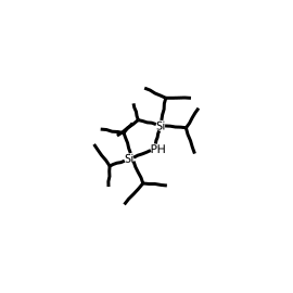 CC(C)[Si](P[Si](C(C)C)(C(C)C)C(C)C)(C(C)C)C(C)C